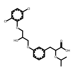 CC(C)OC(Cc1cccc(OCC(O)COc2cc(Cl)ccc2Cl)c1)C(=O)O